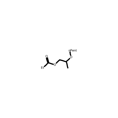 CCCCCOC(C)COC(=O)CC